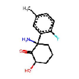 Cc1ccc(F)c(C2(N)CCCC(O)C2=O)c1